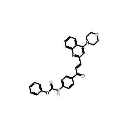 O=C(Nc1ccc(C(=O)C=Cc2cc(N3CCOCC3)c3ccccc3n2)cc1)Oc1ccccc1